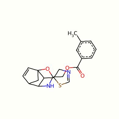 Cc1cccc(C(=O)OCC2NC3C4C=CC(C4)(O2)C3C2CN=CS2)c1